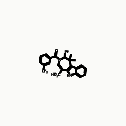 CC(C)C1N(C(=O)c2cccc(C(F)(F)F)c2)C=C(C(=O)O)c2[nH]c3ccccc3c2C1(C)C